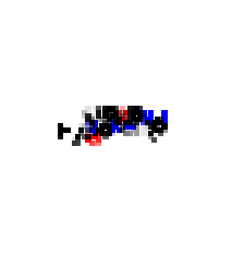 CC1c2cc(NCc3ccccc3)ccc2OC1C(Nc1ccc(C(=O)N(C)CCC(=O)O)cc1)C1CCCCC1